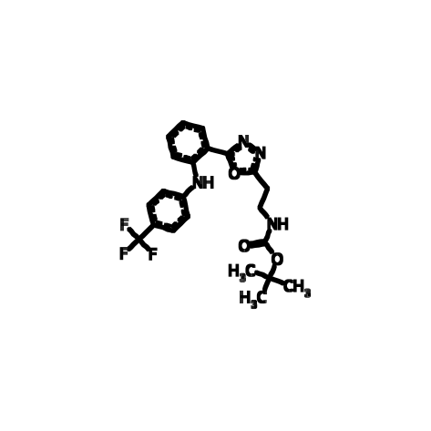 CC(C)(C)OC(=O)NCCc1nnc(-c2ccccc2Nc2ccc(C(F)(F)F)cc2)o1